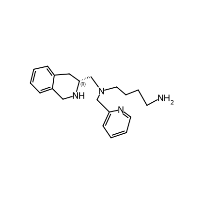 NCCCCN(Cc1ccccn1)C[C@H]1Cc2ccccc2CN1